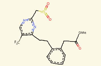 COC(=O)Cc1ccccc1CCc1nc(C[SH](=O)=O)ncc1C(F)(F)F